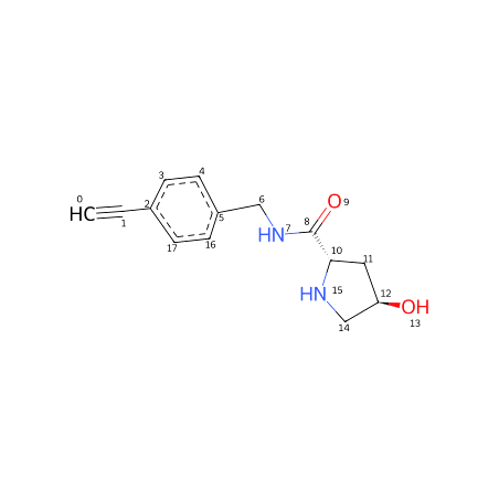 C#Cc1ccc(CNC(=O)[C@@H]2C[C@@H](O)CN2)cc1